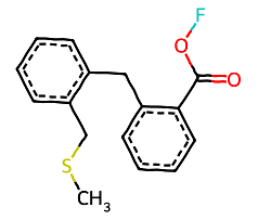 CSCc1ccccc1Cc1ccccc1C(=O)OF